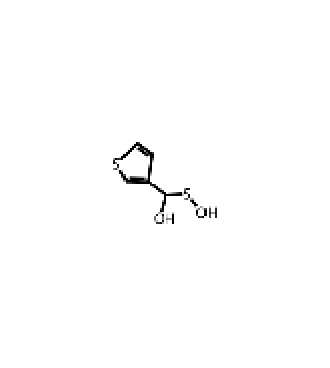 OSC(O)c1ccsc1